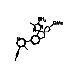 CC#Cc1cncc(-c2ccc3c(c2)C2(N=C(C)C(N)=N2)[C@]2(CC[C@H](OC)CC2)C3)c1C